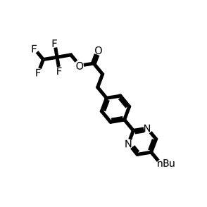 CCCCc1cnc(-c2ccc(CCC(=O)OCC(F)(F)C(F)F)cc2)nc1